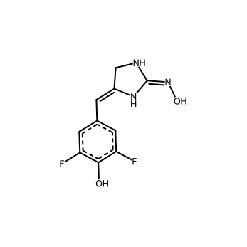 ON=C1NCC(=Cc2cc(F)c(O)c(F)c2)N1